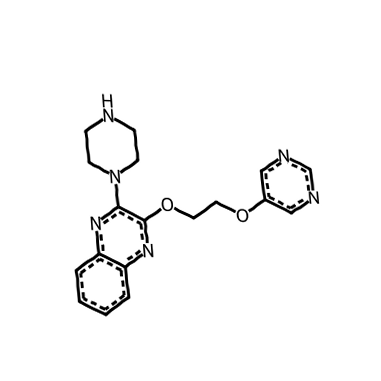 c1ccc2nc(N3CCNCC3)c(OCCOc3cncnc3)nc2c1